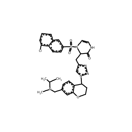 CC(C)N(C)Cc1ccc2c(c1)OCCC2n1cc(CC2C(=O)NC=CN2S(=O)(=O)c2ccc3c(Cl)cccc3c2)nn1